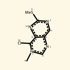 CSc1ncc2nc[n+](C)c(Cl)c2n1